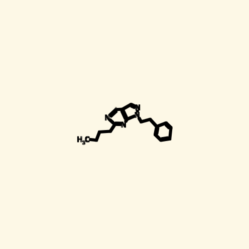 CCCCc1n[c]c2cnn(CCc3ccccc3)c2n1